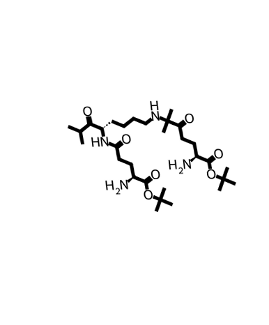 CC(C)C(=O)[C@H](CCCCNC(C)(C)C(=O)CC[C@H](N)C(=O)OC(C)(C)C)NC(=O)CC[C@H](N)C(=O)OC(C)(C)C